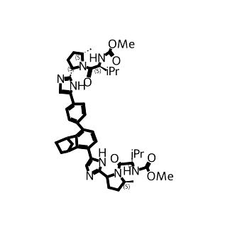 COC(=O)N[C@H](C(=O)N1C(c2ncc(-c3ccc(-c4ccc(-c5cnc([C@@H]6CC[C@H](C)N6C(=O)[C@@H](NC(=O)OC)C(C)C)[nH]5)cc4)c4c3C3CCC4C3)[nH]2)CC[C@@H]1C)C(C)C